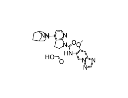 COc1cc2ncnn2cc1NC(=O)N1CCc2c(N3CC4CCC(C3)N4)ccnc21.O=CO